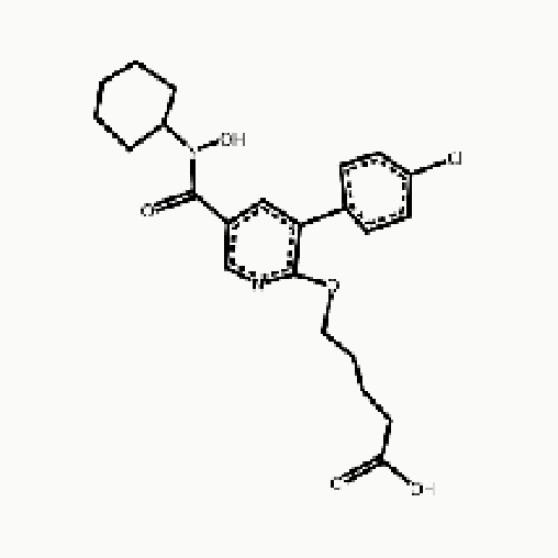 O=C(O)CCCCOc1ncc(C(=O)N(O)C2CCCCC2)cc1-c1ccc(Cl)cc1